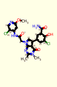 COc1cc(NC(=O)Cn2cc(-c3cc(Cl)c(O)c(C(N)=O)c3)c3c(=O)n(C)c(C)nc32)c(Cl)cn1